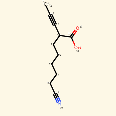 CC#CC(CCCCCC#N)C(=O)O